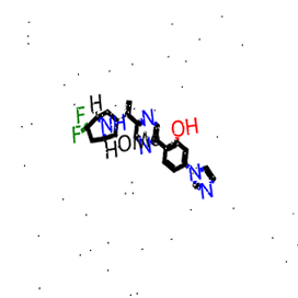 C=C(c1cnc(-c2ccc(-n3ccnc3)cc2O)cn1)[C@H]1C[C@H]2N[C@H](CC2(F)F)[C@@H]1OC